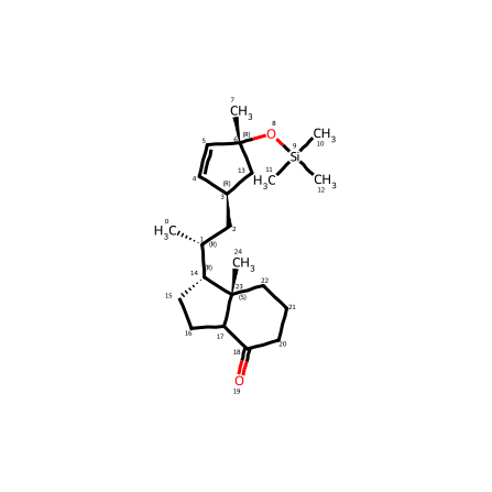 C[C@H](C[C@H]1C=C[C@](C)(O[Si](C)(C)C)C1)[C@H]1CCC2C(=O)CCC[C@]21C